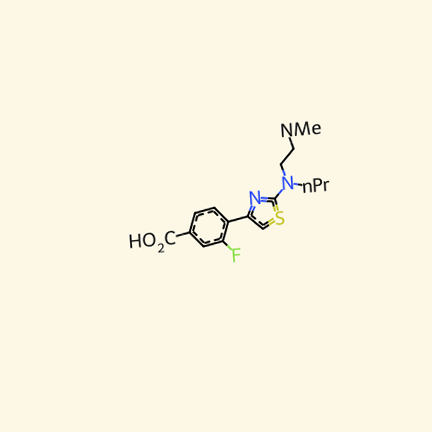 CCCN(CCNC)c1nc(-c2ccc(C(=O)O)cc2F)cs1